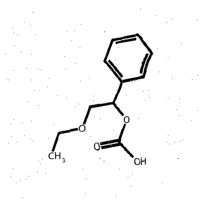 CCOCC(OC(=O)O)c1ccccc1